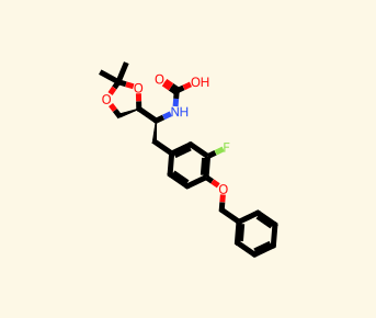 CC1(C)OC[C@H]([C@H](Cc2ccc(OCc3ccccc3)c(F)c2)NC(=O)O)O1